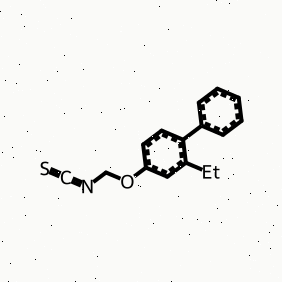 CCc1cc(OCN=C=S)ccc1-c1ccccc1